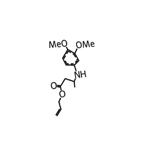 C=CCOC(=O)CC(C)Nc1ccc(OC)c(OC)c1